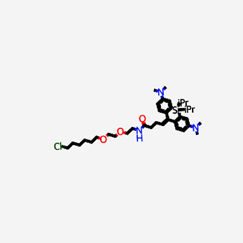 CC(C)[Si]1(C(C)C)c2cc(N(C)C)ccc2C(=CCCC(=O)NCCOCCOCCCCCCCl)c2ccc(N(C)C)cc21